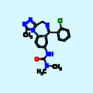 Cc1nnc2n1-c1ccc(NC(=O)N(C)C)cc1C(c1ccccc1Cl)=NC2